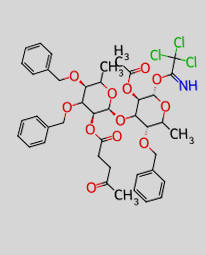 CC(=O)CCC(=O)O[C@H]1C(OCc2ccccc2)[C@@H](OCc2ccccc2)C(C)O[C@H]1OC1[C@@H](OCc2ccccc2)C(C)O[C@@H](OC(=N)C(Cl)(Cl)Cl)[C@@H]1OC(C)=O